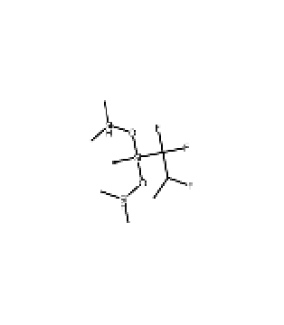 CC(F)C(F)(F)[Si](C)(O[SiH](C)C)O[SiH](C)C